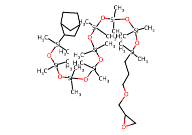 C[Si](C)(CCCOCC1CO1)O[Si](C)(C)O[Si](C)(C)O[Si](C)(C)O[Si](C)(C)O[Si](C)(C)O[Si](C)(C)O[Si](C)(C)O[Si](C)(C)C1CC2CCC1C2